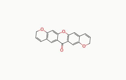 O=c1c2cc3c(cc2oc2cc4c(cc12)OCC=C4)OCC=C3